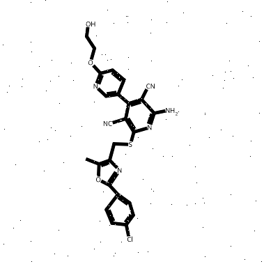 Cc1oc(-c2ccc(Cl)cc2)nc1CSc1nc(N)c(C#N)c(-c2ccc(OCCO)nc2)c1C#N